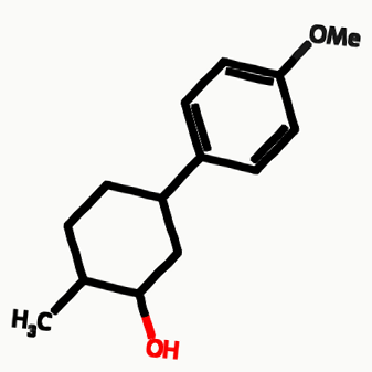 COc1ccc(C2CCC(C)C(O)C2)cc1